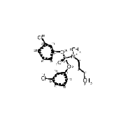 CCCCN(C)P(=O)(Oc1cccc(Cl)c1)Oc1cccc(Cl)c1